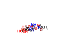 CC1=CC(=O)N(CCOc2nc(N)nc3c2ncn3[C@@H]2O[C@H](COP(=O)(O)O)[C@@H](O)[C@H]2O)C1=O